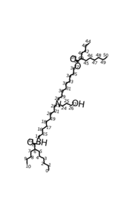 CCCCCCC(CCCC)C(=O)BCCCCCCCCCN(CCCO)CCCCCCCCCOC(=O)C(CCCC)CCCCCC